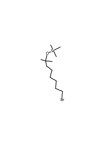 CC(C)(CCCCCCBr)O[Si](C)(C)C